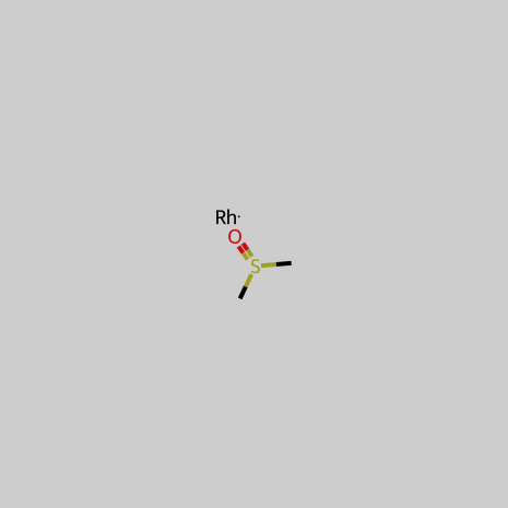 CS(C)=O.[Rh]